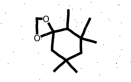 CC1C(C)(C)CC(C)(C)CC12OCO2